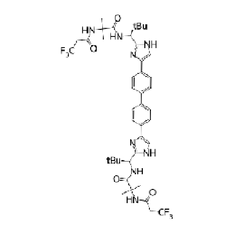 CC(C)(NC(=O)CC(F)(F)F)C(=O)N[C@H](c1nc(-c2ccc(-c3ccc(-c4c[nH]c([C@@H](NC(=O)C(C)(C)NC(=O)CC(F)(F)F)C(C)(C)C)n4)cc3)cc2)c[nH]1)C(C)(C)C